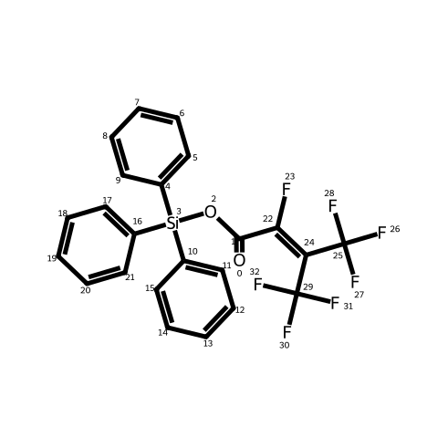 O=C(O[Si](c1ccccc1)(c1ccccc1)c1ccccc1)C(F)=C(C(F)(F)F)C(F)(F)F